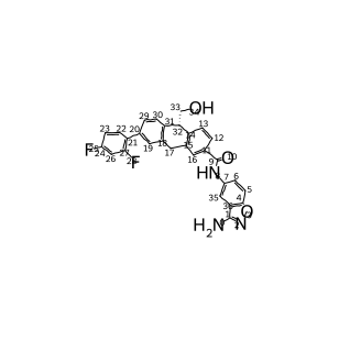 Nc1noc2ccc(NC(=O)c3ccc4c(c3)Cc3cc(-c5ccc(F)cc5F)ccc3[C@@H]4CO)cc12